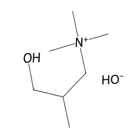 CC(CO)C[N+](C)(C)C.[OH-]